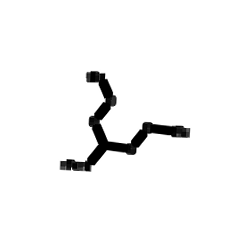 CCCCCC(OOC(C)(C)C)OOC(C)(C)C